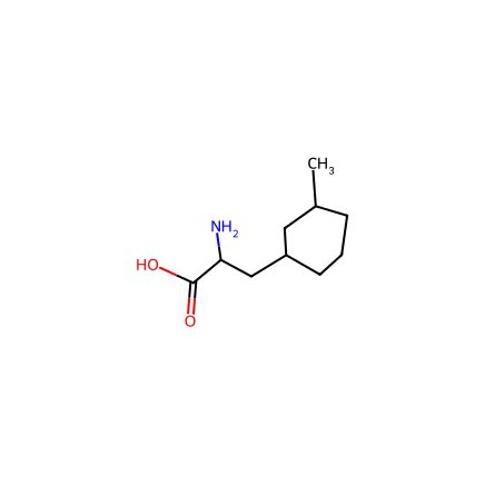 CC1CCCC(CC(N)C(=O)O)C1